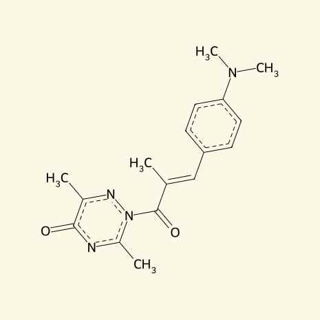 C/C(=C\c1ccc(N(C)C)cc1)C(=O)n1nc(C)c(=O)nc1C